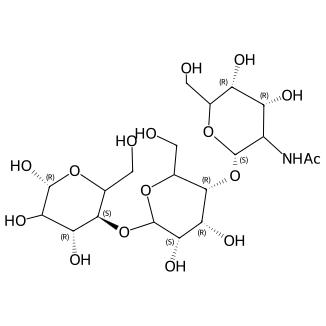 CC(=O)NC1[C@H](O[C@H]2C(CO)OC(O[C@@H]3C(CO)O[C@@H](O)C(O)[C@H]3O)[C@@H](O)[C@H]2O)OC(CO)[C@H](O)[C@@H]1O